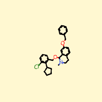 CN1CCc2ccc(OCc3ccccc3)cc2C1OCc1cccc(Cl)c1C1CCCC1